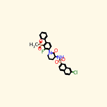 CS(=O)(=O)c1c(-c2ccccc2)ccc(N2CCCC(NS(=O)(=O)c3ccc4ccc(Cl)cc4c3)C2=O)c1F